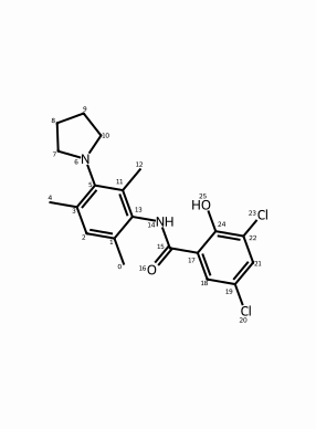 Cc1cc(C)c(N2CCCC2)c(C)c1NC(=O)c1cc(Cl)cc(Cl)c1O